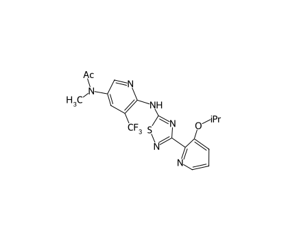 CC(=O)N(C)c1cnc(Nc2nc(-c3ncccc3OC(C)C)ns2)c(C(F)(F)F)c1